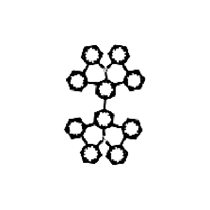 c1ccc2c(c1)-c1ccccc1N1c3ccccc3-c3ccccc3-c3cc(-c4cc5c6c(c4)-c4ccccc4-c4ccccc4N6c4ccccc4-c4ccccc4-5)cc-2c31